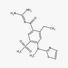 CCc1cc(N(C)c2nccs2)c(S(C)(=O)=O)cc1C(=O)N=C(N)N